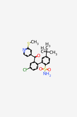 CSc1cc(C(=O)c2cc(Cl)ccc2-c2cc(C(C)(C)C)ccc2S(N)(=O)=O)ccn1